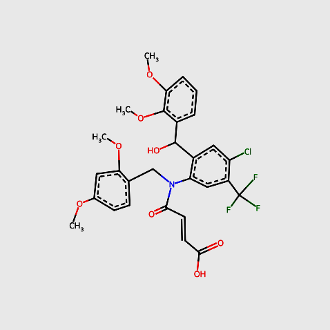 COc1ccc(CN(C(=O)C=CC(=O)O)c2cc(C(F)(F)F)c(Cl)cc2C(O)c2cccc(OC)c2OC)c(OC)c1